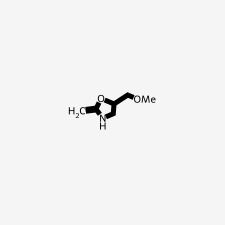 C=C1NCC(COC)O1